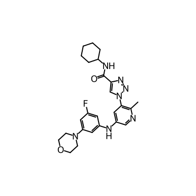 Cc1ncc(Nc2cc(F)cc(N3CCOCC3)c2)cc1-n1cc(C(=O)NC2CCCCC2)nn1